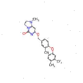 Cc1ccc(Oc2ccc(COc3cc4n(c(=O)n3)CCN4C)cc2C#N)cc1C(F)(F)F